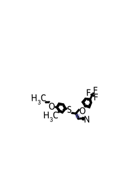 CCCOc1ccc(SC/C(=C/C#N)COc2ccc(C(F)(F)F)cc2)cc1C